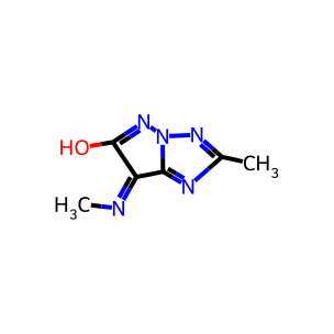 C/N=C1\C(O)=Nn2nc(C)nc21